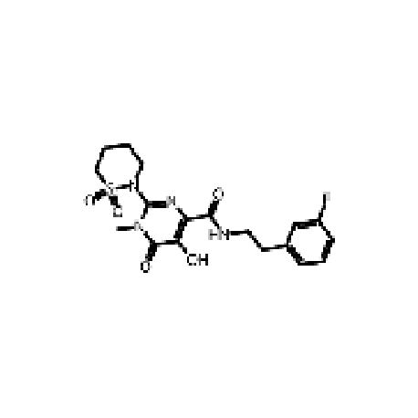 Cn1c(N2CCCCS2(=O)=O)nc(C(=O)NCCc2cccc(F)c2)c(O)c1=O